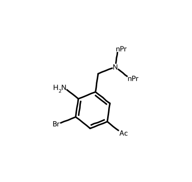 CCCN(CCC)Cc1cc(C(C)=O)cc(Br)c1N